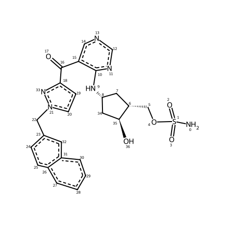 NS(=O)(=O)OC[C@H]1C[C@@H](Nc2ncncc2C(=O)c2ccn(Cc3ccc4ccccc4c3)n2)C[C@@H]1O